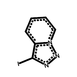 Ic1nnn2ccccc12